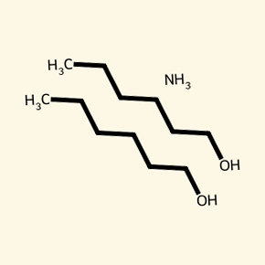 CCCCCCO.CCCCCCO.N